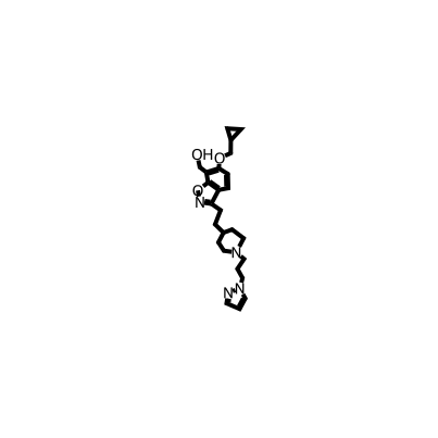 OCc1c(OCC2CC2)ccc2c(CCC3CCN(CCCn4cccn4)CC3)noc12